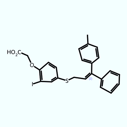 Cc1ccc(/C(=C\CSc2ccc(OCC(=O)O)c(I)c2)c2ccccc2)cc1